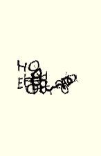 CC[C@H]1[C@@H](O)[C@@H]2[C@H](CC[C@]3(C)[C@@H]([C@H](C)CCOC(=O)N4C[C@@H](C)O[C@@H](C)C4)CC[C@@H]23)[C@@]2(C)CC[C@@H](O)C[C@@H]12